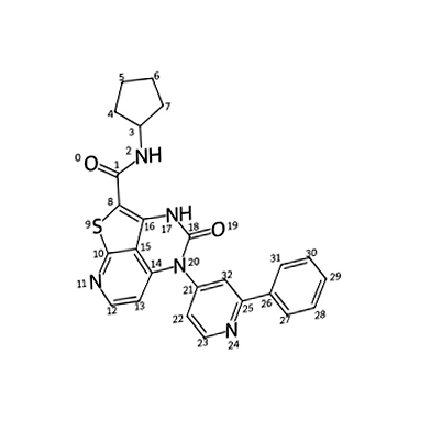 O=C(NC1CCCC1)c1sc2nccc3c2c1NC(=O)N3c1ccnc(-c2ccccc2)c1